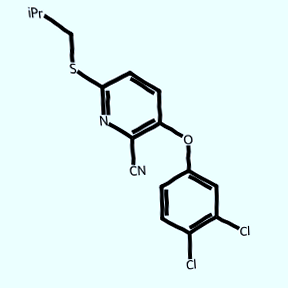 CC(C)CSc1ccc(Oc2ccc(Cl)c(Cl)c2)c(C#N)n1